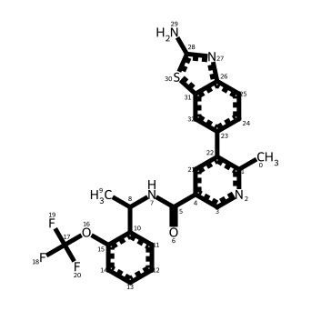 Cc1ncc(C(=O)NC(C)c2ccccc2OC(F)(F)F)cc1-c1ccc2nc(N)sc2c1